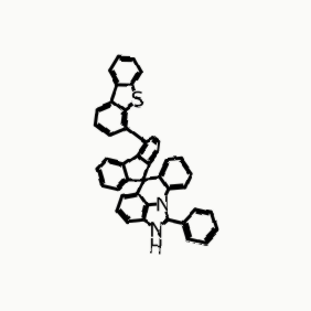 c1ccc(C2Nc3cccc4c3N2c2ccccc2C42c3ccccc3-c3c(-c4cccc5c4sc4ccccc45)cccc32)cc1